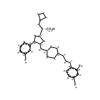 O=C(O)[C@@H](CC1CCC1)N1CC(CN2CCC(CCCc3ccc(F)cc3F)CC2)C(c2cccc(F)c2)C1